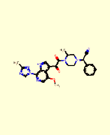 COc1cnc(-n2cnc(C)n2)c2[nH]cc(C(=O)C(=O)N3CC/[N+](=C(/C#N)c4ccccc4)CC3C)c12